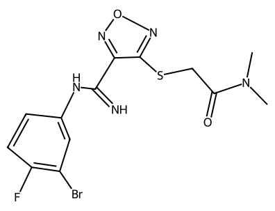 CN(C)C(=O)CSc1nonc1C(=N)Nc1ccc(F)c(Br)c1